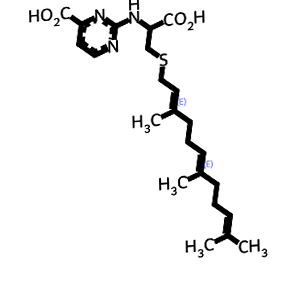 CC(C)=CCC/C(C)=C/CC/C(C)=C/CSCC(Nc1nccc(C(=O)O)n1)C(=O)O